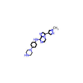 Cn1cc(-c2cnc3c(Nc4ccc(N5CCNCC5)cc4)nccn23)cn1